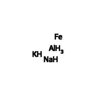 [AlH3].[Fe].[KH].[NaH]